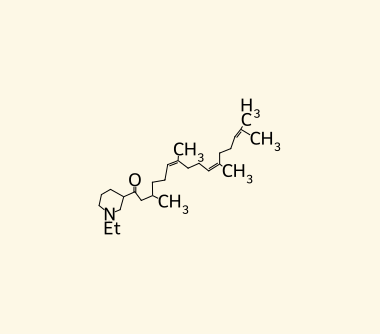 CCN1CCCC(C(=O)CC(C)CCC=C(C)CCC=C(C)CCC=C(C)C)C1